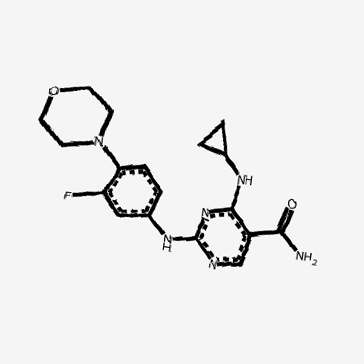 NC(=O)c1cnc(Nc2ccc(N3CCOCC3)c(F)c2)nc1NC1CC1